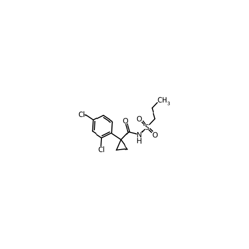 CCCS(=O)(=O)NC(=O)C1(c2ccc(Cl)cc2Cl)CC1